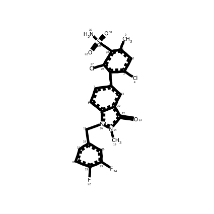 Cc1cc(Cl)c(-c2ccc3c(c2)c(=O)n(C)n3Cc2ccc(F)c(F)c2)c(Cl)c1S(N)(=O)=O